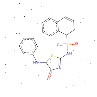 O=C1N=C(NS(=O)(=O)C2CC=Cc3ccccc32)SC1Nc1ccccc1